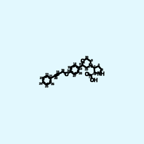 O=C(O)[C@H]1NCCC1N1CCOC(c2ccc(OCC#Cc3ccccc3)cc2)C1